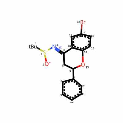 CC(C)(C)[S+]([O-])/N=C1\CC(c2ccccc2)Oc2ccc(Br)cc21